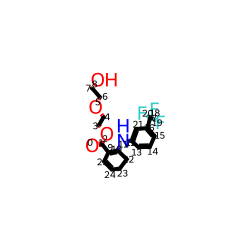 O=C(OCCOCCO)C1=C(Nc2cccc(C(F)(F)F)c2)CCC=C1